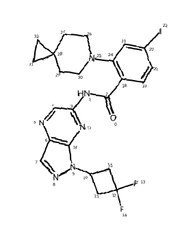 O=C(Nc1cnc2cnn(C3CC(F)(F)C3)c2n1)c1ccc(I)cc1N1CCC2(CC1)CC2